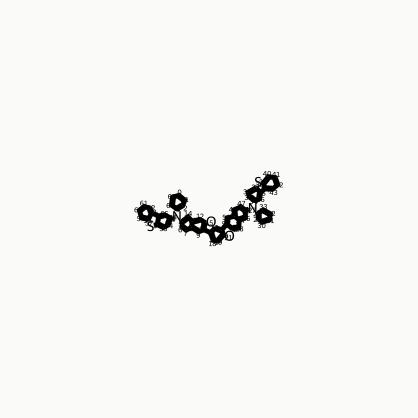 c1ccc(N(c2ccc3cc4c(cc3c2)oc2c4ccc3oc4cc5cc(N(c6ccccc6)c6ccc7sc8ccccc8c7c6)ccc5cc4c32)c2ccc3sc4ccccc4c3c2)cc1